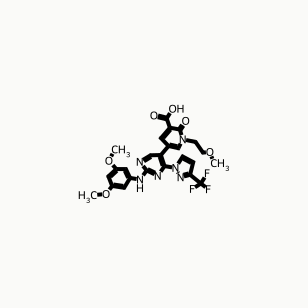 COCCn1cc(-c2cnc(Nc3cc(OC)cc(OC)c3)nc2-n2ccc(C(F)(F)F)n2)cc(C(=O)O)c1=O